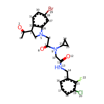 CC(=O)C1CN(CC(=O)N(CC(=O)NCc2cccc(Cl)c2F)C2CC2)c2cc(Br)ccc21